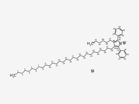 CCCCCCCCCCCCCCCCCCCCCCCCCCCCCC1=C(c2ccccc2)[N+](=[N-])C(c2ccccc2)=C1CCCCCC.[Ni]